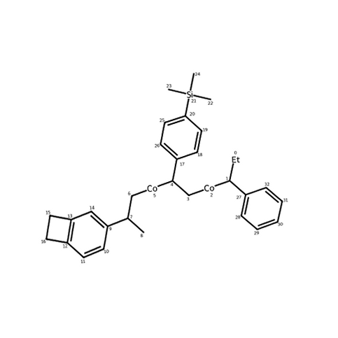 CC[CH]([Co][CH2][CH]([Co][CH2]C(C)c1ccc2c(c1)CC2)c1ccc([Si](C)(C)C)cc1)c1ccccc1